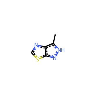 Cc1[nH]nc2scnc12